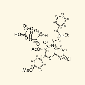 CCN(CCN1C(=O)[C@@H](OC(C)=O)[C@@H](c2ccc(OC)cc2)Sc2cc(Cl)ccc21)Cc1ccccc1.O=C(O)C(=O)O.O=C(O)C(=O)O